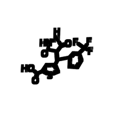 O=C1NNC(=O)C1=C(c1cccc(C(F)(F)F)c1)c1csc(C(=O)O)c1